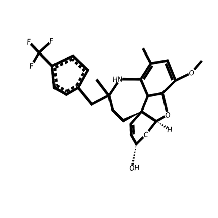 COC1=CC(C)=C2NC(C)(Cc3ccc(C(F)(F)F)cc3)CC[C@]34C=C[C@@H](O)C[C@@H]3OC1C24